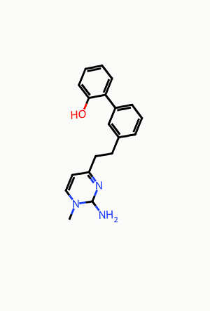 CN1C=CC(CCc2cccc(-c3ccccc3O)c2)=NC1N